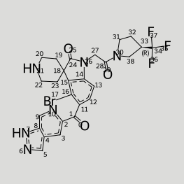 O=C(c1cc2cn[nH]c2cn1)c1ccc2c(c1Br)C1(CCNCC1)C(=O)N2CC(=O)N1CC[C@@H](C(F)(F)F)C1